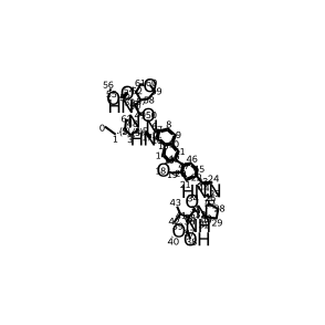 CC[C@H]1C[C@@H](c2nc3ccc4cc5c(cc4c3[nH]2)OCc2cc(-c3cnc([C@@H]4CC[C@H](C)N4C(=O)[C@@H](NC(O)OC)C(C)C)[nH]3)ccc2-5)N(C(=O)[C@@H](NC(=O)OC)C2CCOCC2)C1